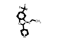 CCSN1c2cc(C(F)(F)F)ccc2OC1c1ccncc1